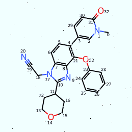 Cn1cc(-c2ccc3c(nc(C4CCOCC4)n3CC#N)c2Oc2ccccc2)ccc1=O